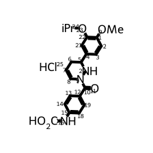 COc1ccc(C2CC=CN(C(=O)c3ccc(NC(=O)O)cc3)N2)cc1OC(C)C.Cl